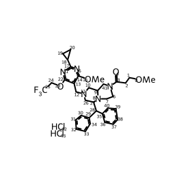 COCCC(=O)N1CCN2C(CN(Cc3c(OC)nc(C4CC4)nc3OCC(F)(F)F)CC2C(c2ccccc2)c2ccccc2)C1.Cl.Cl